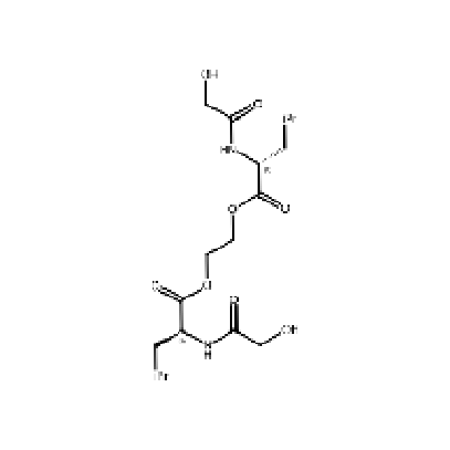 CC(C)C[C@H](NC(=O)CO)C(=O)OCCOC(=O)[C@@H](CC(C)C)NC(=O)CO